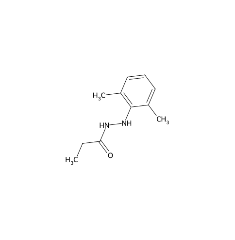 CCC(=O)NNc1c(C)cccc1C